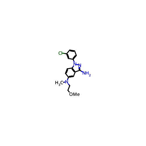 COCCN(C)c1ccc2c(c1)c(N)nn2-c1cccc(Cl)c1